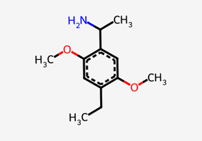 CCc1cc(OC)c(C(C)N)cc1OC